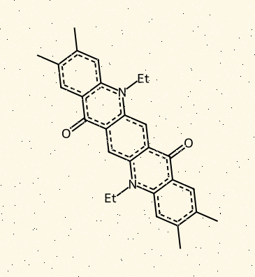 CCn1c2cc(C)c(C)cc2c(=O)c2cc3c(cc21)c(=O)c1cc(C)c(C)cc1n3CC